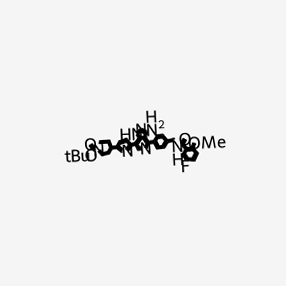 COc1ccc(F)cc1C(=O)NCc1ccc(-c2ncc(-c3ccc(C4CCN(C(=O)OC(C)(C)C)CC4)cn3)c3[nH]nc(N)c23)cc1